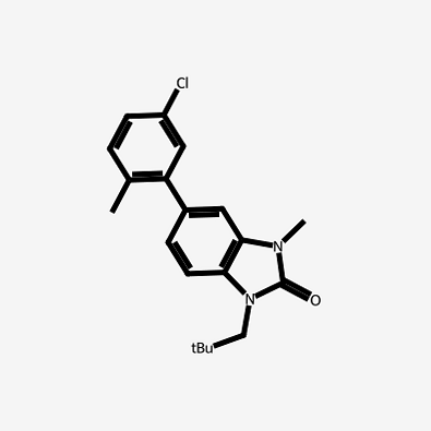 Cc1ccc(Cl)cc1-c1ccc2c(c1)n(C)c(=O)n2CC(C)(C)C